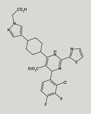 CCOC(=O)C1=C(C2CCC(c3cnn(CC(=O)O)c3)CC2)NC(c2nccs2)=NC1c1ccc(F)c(F)c1Cl